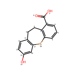 O=C(O)c1cccc2c1CCc1ccc(O)cc1S2